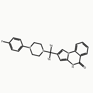 [2H]C([2H])(c1cc2[nH]c(=O)c3ccccc3n2c1)N1CCN(c2ccc(F)cc2)CC1